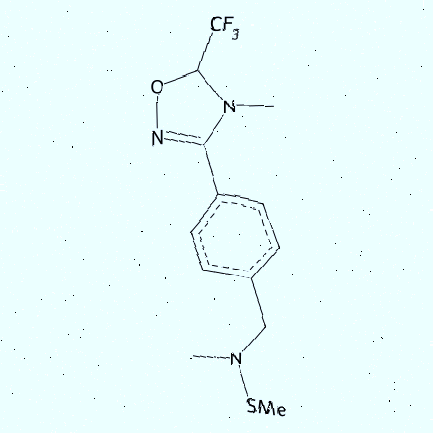 CSN(C)Cc1ccc(C2=NOC(C(F)(F)F)N2C)cc1